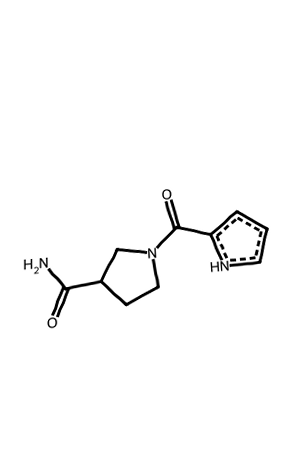 NC(=O)C1CCN(C(=O)c2ccc[nH]2)C1